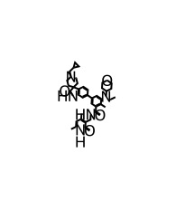 CCN(c1cc(-c2ccc3c(c2)NC(=O)C32CCN(CC3CC3)CC2)cc(C(=O)NCc2c(C)cc(C)[nH]c2=O)c1C)C1CCOCC1